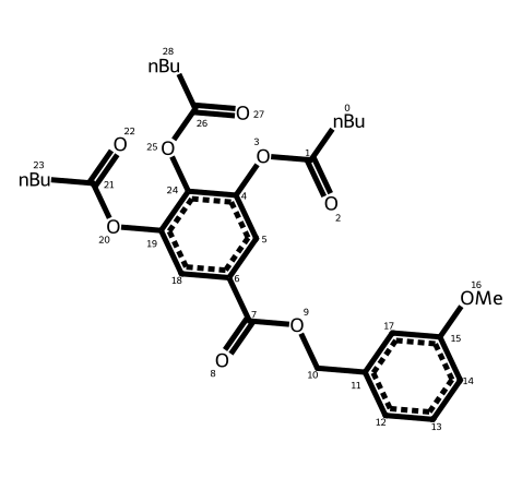 CCCCC(=O)Oc1cc(C(=O)OCc2cccc(OC)c2)cc(OC(=O)CCCC)c1OC(=O)CCCC